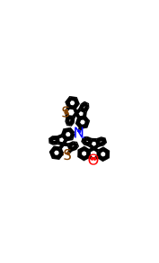 c1ccc2c(c1)Oc1ccccc1C21c2ccccc2-c2cc(N(c3ccc4c(c3)C3(c5ccccc5Sc5ccccc53)c3ccccc3-4)c3ccc4c(c3)C3(c5ccccc5Sc5ccccc53)c3ccccc3-4)ccc21